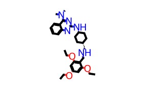 CCOc1cc(OCC)c(CNC[C@H]2CC[C@@H](Nc3nc(N(C)C)c4ccccc4n3)CC2)c(OCC)c1